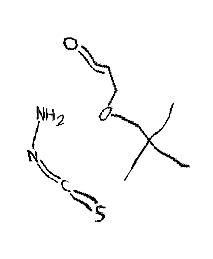 CC(C)(C)OC=O.NN=C=S